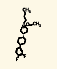 CCCCC[Si@]1(OCC)CC[C@H](C2CCC(c3ccc(F)c(F)c3)CC2)CC1